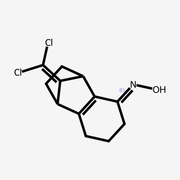 O/N=C1\CCCC2=C1C1CCC2C1=C(Cl)Cl